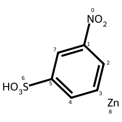 O=[N+]([O-])c1cccc(S(=O)(=O)O)c1.[Zn]